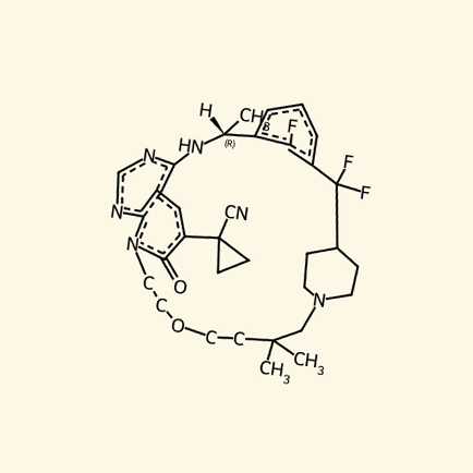 C[C@H]1Nc2ncnc3c2cc(C2(C#N)CC2)c(=O)n3CCOCCC(C)(C)CN2CCC(CC2)C(F)(F)c2cccc1c2F